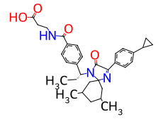 CC[C@H](c1ccc(C(=O)NCCC(=O)O)cc1)N1C(=O)C(c2ccc(C3CC3)cc2)=NC12CC(C)CC(C)C2